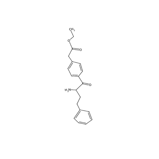 CCOC(=O)Cc1ccc(C(=O)C(N)CCc2ccccc2)cc1